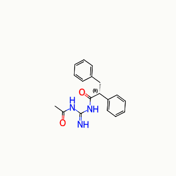 CC(=O)NC(=N)NC(=O)[C@H](Cc1ccccc1)c1ccccc1